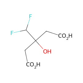 O=C(O)CC(O)(CC(=O)O)C(F)F